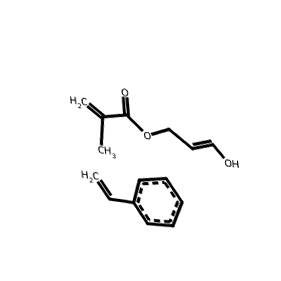 C=C(C)C(=O)OCC=CO.C=Cc1ccccc1